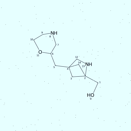 OCC12CC(CC3CNCCO3)(CN1)C2